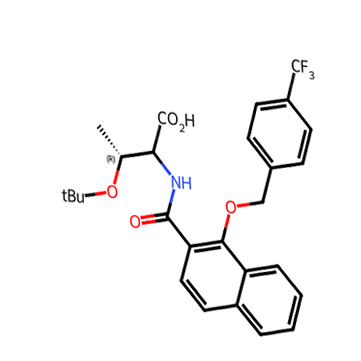 C[C@@H](OC(C)(C)C)C(NC(=O)c1ccc2ccccc2c1OCc1ccc(C(F)(F)F)cc1)C(=O)O